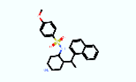 COc1ccc(S(=O)(=O)NC2CCCCC2C(C)c2cccc3ccccc23)cc1.N